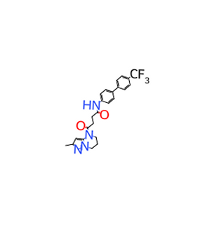 Cc1cc2n(n1)CCCN2C(=O)CCC(=O)Nc1ccc(-c2ccc(C(F)(F)F)cc2)cc1